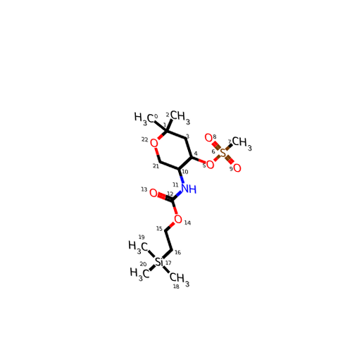 CC1(C)CC(OS(C)(=O)=O)C(NC(=O)OCC[Si](C)(C)C)CO1